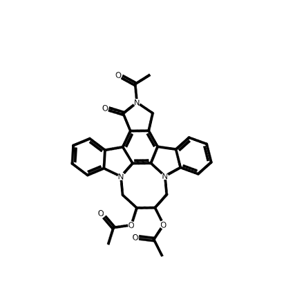 CC(=O)OC1Cn2c3ccccc3c3c4c(c5c6ccccc6n(c5c32)CC1OC(C)=O)C(=O)N(C(C)=O)C4